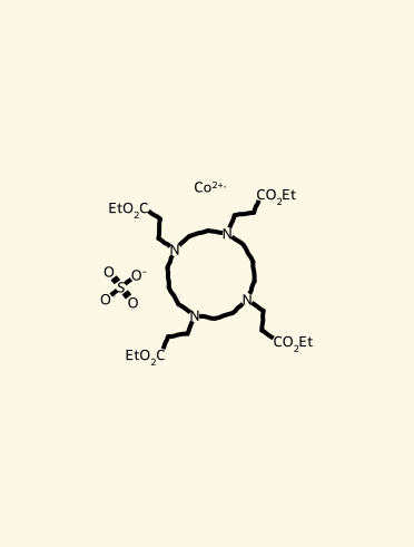 CCOC(=O)CCN1CCCN(CCC(=O)OCC)CCN(CCC(=O)OCC)CCCN(CCC(=O)OCC)CC1.O=S(=O)([O-])[O-].[Co+2]